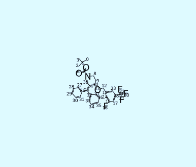 CC(C)(C)OC(=O)N1CC[C@H](OCc2cc(F)cc(C(F)(F)F)c2)[C@H](C(c2ccccc2)c2ccccc2)C1